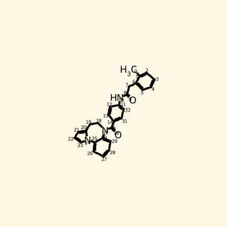 Cc1ccccc1CC(=O)Nc1ccc(C(=O)N2CCc3cccn3-c3ccccc32)cc1